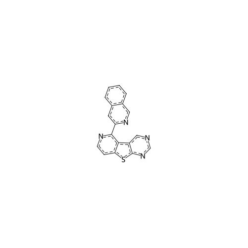 c1ccc2cc(-c3nccc4sc5ncncc5c34)ncc2c1